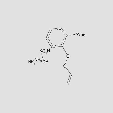 C=COOc1ccccc1CCCCCCCCC.N.N.O=S(=O)(O)O